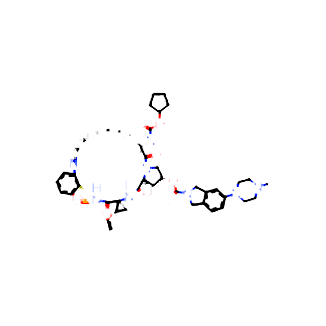 C=C[C@@H]1C[C@@]12NC(=O)[C@@H]1C[C@@H](OC(=O)N3Cc4ccc(N5CCN(C)CC5)cc4C3)CN1C(=O)[C@@H](NC(=O)OC1CCCC1)CCCCCCCNc1ccccc1S(=O)(=O)NC2=O